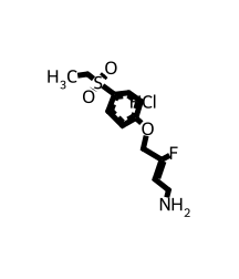 CCS(=O)(=O)c1ccc(OCC(F)=CCN)cc1.Cl